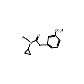 CCCN(C(=O)Cc1cccc(C(=O)O)c1)C1CC1